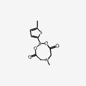 Cc1ccc(B2OC(=O)CN(C)CC(=O)O2)s1